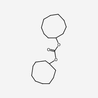 O=C(OC1CCCCCCCCC1)OC1CCCCCCCCC1